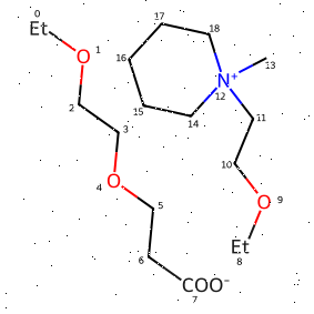 CCOCCOCCC(=O)[O-].CCOCC[N+]1(C)CCCCC1